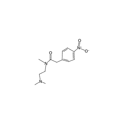 CN(C)CCN(C)C(=O)Cc1ccc([N+](=O)[O-])cc1